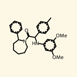 COc1cc(NC(C(=O)N2CCCCCC2c2ccccc2)c2ccc(C)cc2)cc(OC)c1